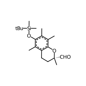 Cc1c(C)c2c(c(C)c1O[Si](C)(C)C(C)(C)C)CC[C@@](C)(C=O)O2